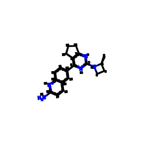 C[C@H]1CCN1c1nc2c(c(-c3ccc4nc(N)ccc4c3)n1)CCC2